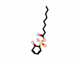 CCCCCCCCC(=O)OS(=O)(=O)C1C=CC=CC1=O